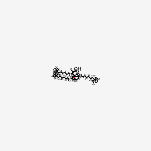 CCC1(CCCCCCOC(=C(C)C(=O)O)C23CC4CC(OCCCCCCC5(CC)CCO5)(CC(OCCCCCCC5(CC)CCO5)(C4)C2)C3)CCO1